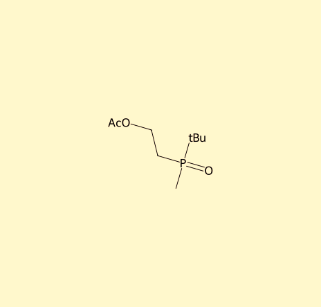 CC(=O)OCCP(C)(=O)C(C)(C)C